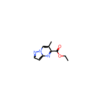 CCOC(=O)c1nc2ccnn2cc1C